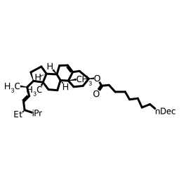 CCCCCCCCCCCCCCCCCC(=O)O[C@H]1CC[C@@]2(C)C(=CC[C@H]3[C@@H]4CC[C@H]([C@H](C)/C=C/[C@@H](CC)C(C)C)[C@@]4(C)CC[C@@H]32)C1